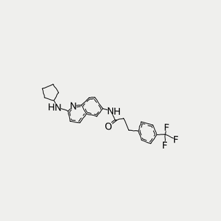 O=C(CCc1ccc(C(F)(F)F)cc1)Nc1ccc2nc(NC3CCCC3)ccc2c1